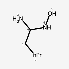 CCCCC(N)NO